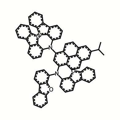 CC(C)c1cc2ccc3c(N(c4cccc5c4oc4ccccc45)c4cccc5c4oc4ccccc45)cc(N(c4cccc5c4oc4ccccc45)c4cccc5c4oc4ccccc45)c4ccc(c1)c2c34